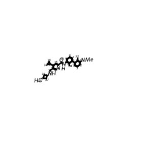 CNc1cccc(-c2cccc(NC(=O)c3cc(C4CC4)c(CN[C@H]4C[C@@H](O)C4)cn3)c2C)c1C